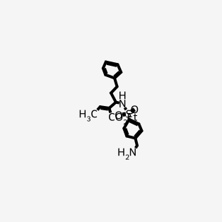 CC=C(C(=O)OCC)C(CCc1ccccc1)NS(=O)(=O)c1ccc(CN)cc1